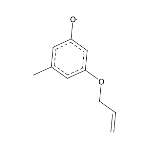 C=CCOc1cc(C)cc([O])c1